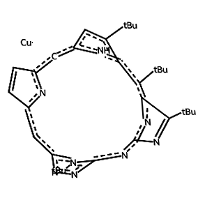 CC(C)(C)C1=Nc2nc1c(C(C)(C)C)c1[nH]c(cc3nc(cc4nnc(n2)n4C(C)(C)C)C=C3)cc1C(C)(C)C.[Cu]